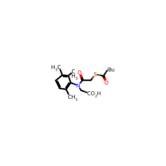 CCC(C)C(=O)SCC(=O)N(CC(=O)O)c1c(C)ccc(C)c1C